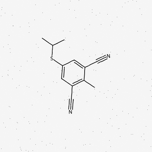 Cc1c(C#N)cc(SC(C)C)cc1C#N